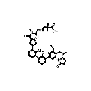 COC(=O)C(C)(C)CNCc1nn2cc(-c3cccc(-c4cccc(-c5ccc(CN(C)[C@H]6CCC(=O)N6)c(OC)n5)c4Cl)c3Cl)cc2c(=O)n1C